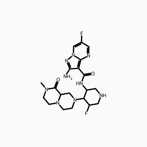 CN1CCN2CCN(C3C(F)CNCC3NC(=O)c3c(N)nn4cc(F)cnc34)CC2C1=O